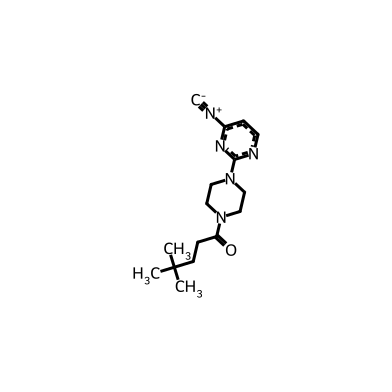 [C-]#[N+]c1ccnc(N2CCN(C(=O)CCC(C)(C)C)CC2)n1